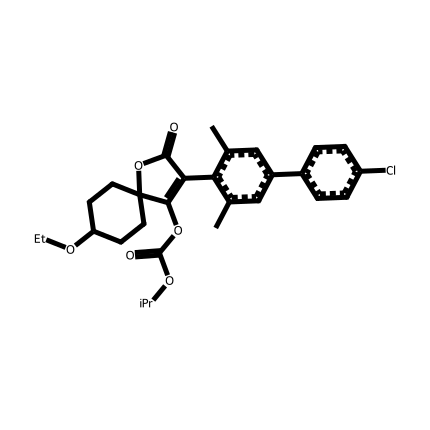 CCOC1CCC2(CC1)OC(=O)C(c1c(C)cc(-c3ccc(Cl)cc3)cc1C)=C2OC(=O)OC(C)C